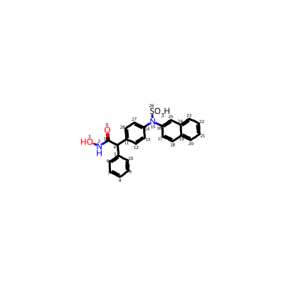 O=C(NO)C(c1ccccc1)c1ccc(N(c2ccc3ccccc3c2)S(=O)(=O)O)cc1